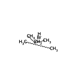 Br.CCCCCCCCCCCCCCC(CCCCCCCC)C(P)(CCCCCCCC)CCCCCCCC